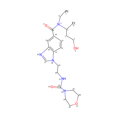 CCC(CCO)N(CC(C)C)C(=O)c1ccc2c(c1)ncn2CCNC(=O)N1CCOCC1